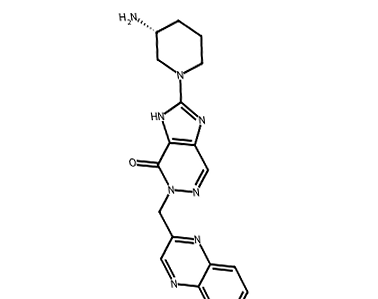 N[C@@H]1CCCN(c2nc3cnn(Cc4cnc5ccccc5n4)c(=O)c3[nH]2)C1